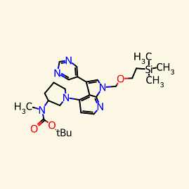 CN(C(=O)OC(C)(C)C)C1CCCN(c2ccnc3c2c(-c2cncnc2)cn3COCC[Si](C)(C)C)C1